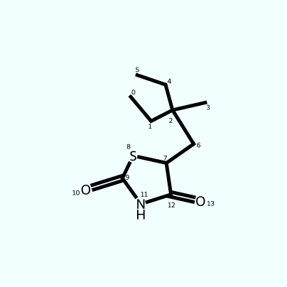 CCC(C)(CC)CC1SC(=O)NC1=O